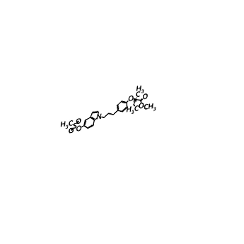 CC[C@@](C)(Oc1ccc(CCCn2ccc3cc(OS(C)(=O)=O)ccc32)cc1)C(=O)OC